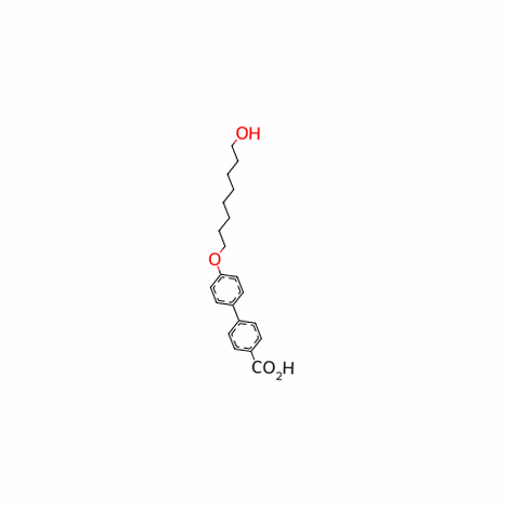 O=C(O)c1ccc(-c2ccc(OCCCCCCCCO)cc2)cc1